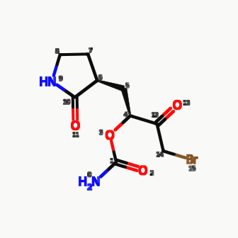 NC(=O)O[C@@H](C[C@@H]1CCNC1=O)C(=O)CBr